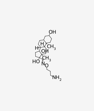 C[C@]12CCC(O)CC1CC[C@@H]1[C@H]2CC[C@]2(C)C(O)(/C=N/OCCCN)CC[C@@]12O